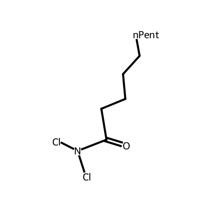 CCCCCCCCCC(=O)N(Cl)Cl